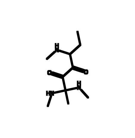 CCC(NC)C(=O)C(=O)C(C)(NC)NC